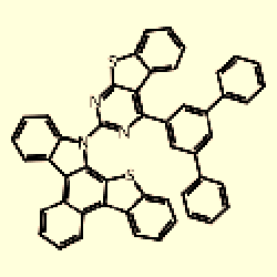 c1ccc(-c2cc(-c3ccccc3)cc(-c3nc(-n4c5ccccc5c5c6ccccc6c6c7ccccc7sc6c54)nc4sc5ccccc5c34)c2)cc1